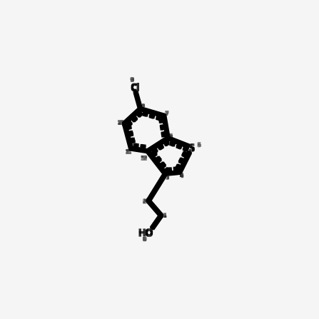 OCCc1csc2cc(Cl)ccc12